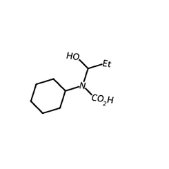 CCC(O)N(C(=O)O)C1CCCCC1